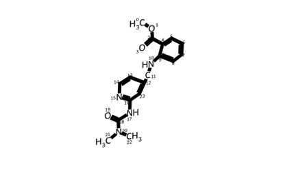 COC(=O)c1ccccc1NCc1ccnc(NC(=O)N(C)C)c1